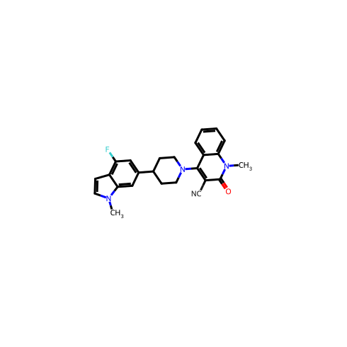 Cn1ccc2c(F)cc(C3CCN(c4c(C#N)c(=O)n(C)c5ccccc45)CC3)cc21